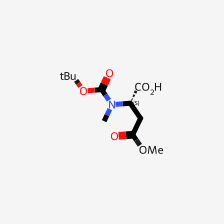 COC(=O)C[C@@H](C(=O)O)N(C)C(=O)OC(C)(C)C